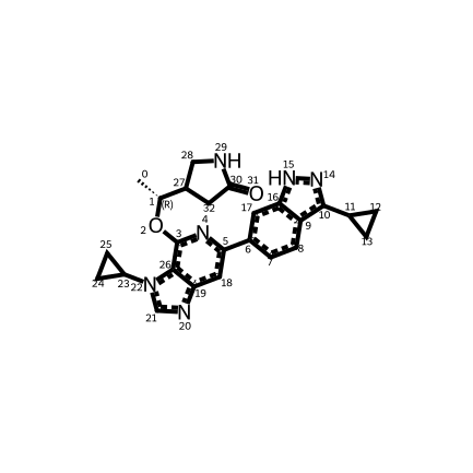 C[C@@H](Oc1nc(-c2ccc3c(C4CC4)n[nH]c3c2)cc2ncn(C3CC3)c12)C1CNC(=O)C1